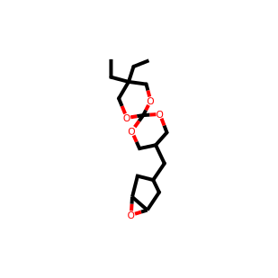 CCC1(CC)COC2(OCC(CC3CC4OC4C3)CO2)OC1